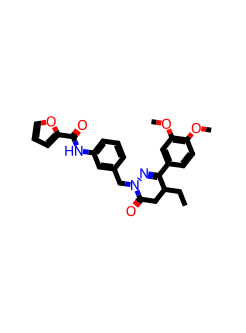 CCC1CC(=O)N(Cc2cccc(NC(=O)c3ccco3)c2)N=C1c1ccc(OC)c(OC)c1